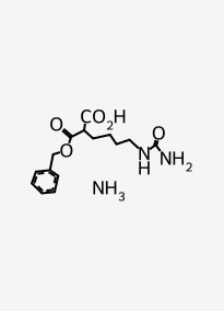 N.NC(=O)NCCCCC(C(=O)O)C(=O)OCc1ccccc1